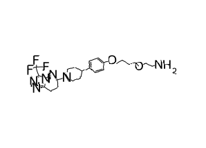 NCCOCCCCOc1ccc(C2CCN(C3=Nn4c(nnc4C(F)(F)F)CC3)CC2)cc1